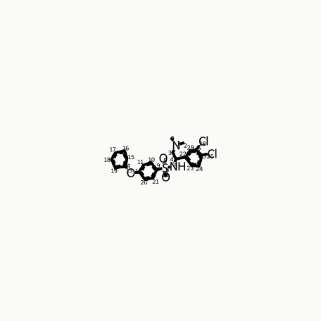 CN(C)CC(NS(=O)(=O)c1ccc(Oc2ccccc2)cc1)c1ccc(Cl)c(Cl)c1